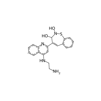 NCCNc1cc(C2=Cc3ccccc3SN(O)C2O)nc2cc[c]cc12